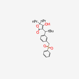 CCCC1(CCC)OC(=O)C(C(c2cccc(CS(=O)(=O)c3ccccc3)c2)C(C)(C)C)=C1O